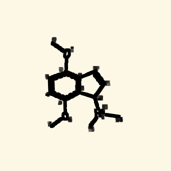 COc1ccc(OC)c2c1C=C[CH]2[Hf]([CH3])[CH3]